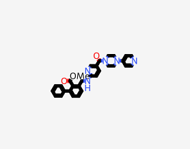 COC(=O)c1c(CNc2ccc(C(=O)N3CCN(c4ccncc4)CC3)cn2)cccc1-c1ccccc1